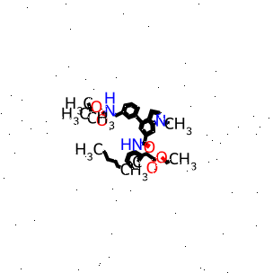 CCCCCC.CCOC(=O)Cc1ccccc1NC(=O)c1cc(-c2cccc(CNC(=O)OC(C)(C)C)c2)c2ccn(C)c2c1